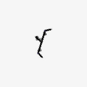 CCCCCC/C=C\COC(=O)CCCCCCCCN(CCCCCCCCC(=O)OC/C=C\CCCCCC)CCCNC(=O)OC(C)(C)C